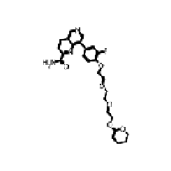 NC(=O)c1ccc2cncc(-c3ccc(OCCOCCOCCOC4CCCCO4)c(F)c3)c2n1